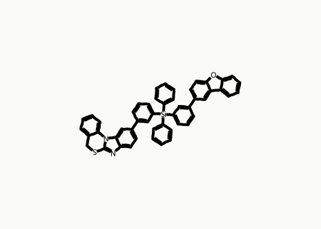 c1ccc([Si](c2ccccc2)(c2cccc(-c3ccc4oc5ccccc5c4c3)c2)c2cccc(-c3ccc4nc5n(c4c3)-c3ccccc3CS5)c2)cc1